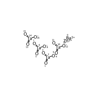 [Ba+2].[O]=[Ta](=[O])[O-].[O]=[Ta](=[O])[O-].[O]=[Ta](=[O])[O-].[O]=[Ta](=[O])[O-].[Zn+2]